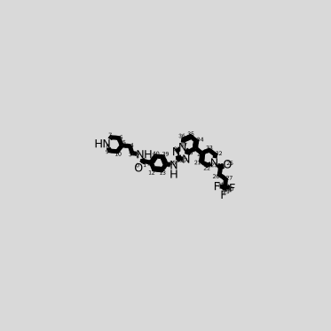 O=C(NCCC1CCNCC1)c1ccc(Nc2nc3c(C4=CCN(C(=O)CCC(F)(F)F)CC4)cccn3n2)cc1